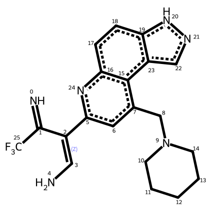 N=C(/C(=C\N)c1cc(CN2CCCCC2)c2c(ccc3[nH]ncc32)n1)C(F)(F)F